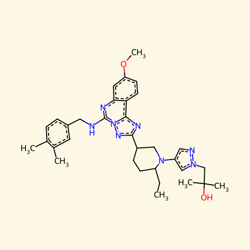 CCC1CCC(c2nc3c4ccc(OC)cc4nc(NCc4ccc(C)c(C)c4)n3n2)CN1c1cnn(CC(C)(C)O)c1